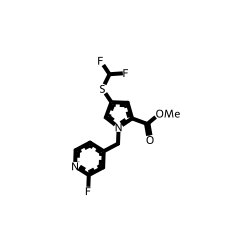 COC(=O)c1cc(SC(F)F)cn1Cc1ccnc(F)c1